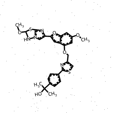 COc1cc(OCc2csc(-c3ccc(C(C)(C)O)cc3)n2)c2cc(-c3cn4c(n3)SC(OC)N4)oc2c1